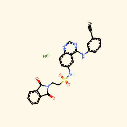 C#Cc1cccc(Nc2ncnc3ccc(NS(=O)(=O)CCN4C(=O)c5ccccc5C4=O)cc23)c1.Cl